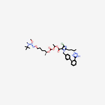 CCCCc1nc(Cl)c(C(=O)OC(C)OC(=O)O[C@@H](C)CCCCO/N=[N+](\OC)N(C)C(C)(C)C)n1Cc1ccc(-c2ccccc2-c2nnn[nH]2)cc1